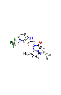 CC(C)c1nn(CC(=O)N[C@@H]2CCCN(CC(F)(F)F)C2)c(=O)c2cc(C3CC3)nn12